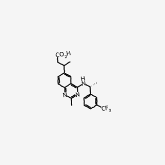 Cc1nc(N[C@H](C)c2cccc(C(F)(F)F)c2)c2cc(C(C)CC(=O)O)ccc2n1